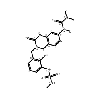 CNS(=O)(=O)Nc1cccc(CN2Cc3ccc(N(C)C(=O)N(C)C)cc3OC2=O)c1F